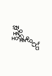 O=C(COc1ccc(Cl)c(F)c1)NC12CCC(NC(=O)c3cscn3)(CC1)C(O)C2